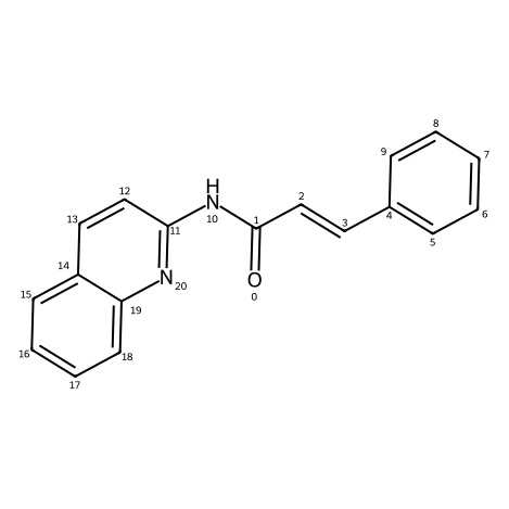 O=C(C=Cc1ccccc1)Nc1ccc2ccccc2n1